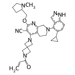 C=CC(=O)N1CC2(C1)CN(c1c(C#N)c(OCC3CCCN3C)nc3c1CCN(c1c(C4CC4)ccc4[nH]ncc14)C3)C2